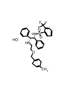 CC1=CCC(COCCN[C@H](c2ccccc2)[C@H](NS(=O)(=O)c2ccccc2C(F)(F)F)c2ccccc2)=CC1.Cl